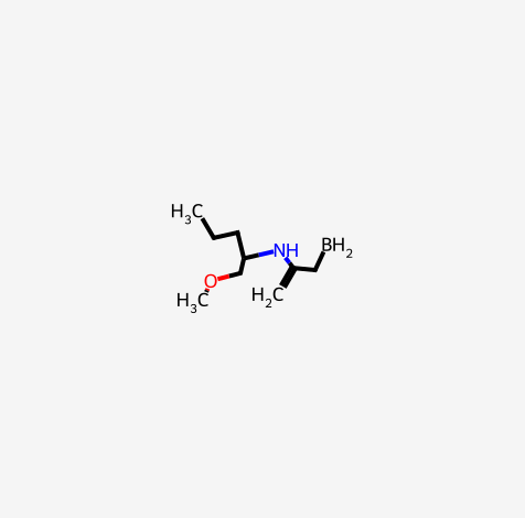 BCC(=C)NC(CCC)COC